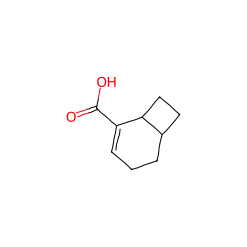 O=C(O)C1=CCCC2CCC12